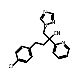 N#CC(CCc1ccc(Cl)cc1)(Cn1cncn1)c1ccccn1